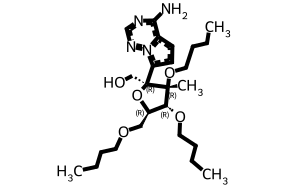 CCCCOC[C@H]1O[C@@](CO)(c2ccc3c(N)ncnn23)[C@](C)(OCCCC)[C@@H]1OCCCC